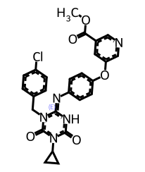 COC(=O)c1cncc(Oc2ccc(/N=c3\[nH]c(=O)n(C4CC4)c(=O)n3Cc3ccc(Cl)cc3)cc2)c1